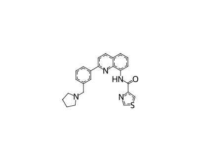 O=C(Nc1cccc2ccc(-c3cccc(CN4CCCC4)c3)nc12)c1cscn1